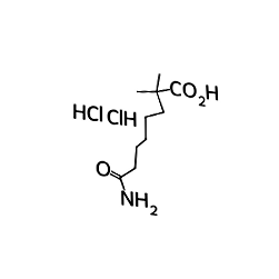 CC(C)(CCCCCC(N)=O)C(=O)O.Cl.Cl